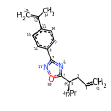 C=CC[C@@H](CCC)c1nc(-c2ccc(C(=C)C)cc2)no1